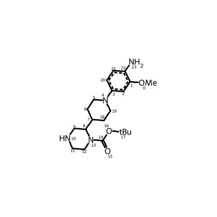 COc1cc(N2CCC(C3CNCCN3C(=O)OC(C)(C)C)CC2)ccc1N